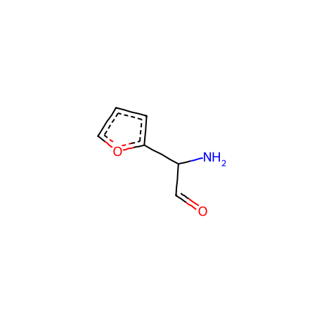 NC(C=O)c1ccco1